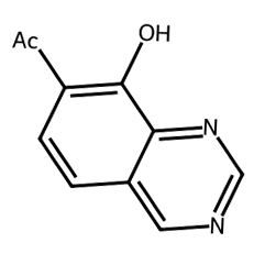 CC(=O)c1ccc2cncnc2c1O